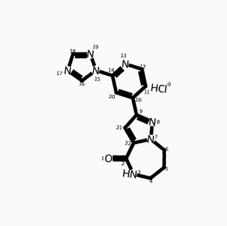 Cl.O=C1NCCCn2nc(-c3ccnc(-n4cncn4)c3)cc21